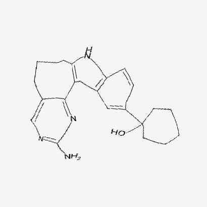 Nc1ncc2c(n1)-c1c([nH]c3ccc(C4(O)CCCCC4)cc13)CCC2